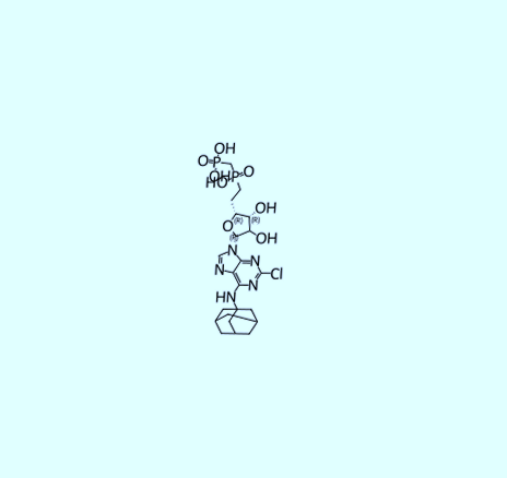 O=P(O)(O)CP(=O)(O)CC[C@H]1O[C@@H](n2cnc3c(NC45CC6CC(CC(C6)C4)C5)nc(Cl)nc32)C(O)[C@H]1O